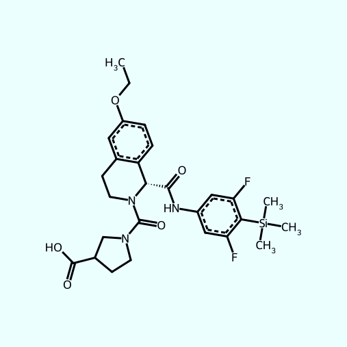 CCOc1ccc2c(c1)CCN(C(=O)N1CCC(C(=O)O)C1)[C@H]2C(=O)Nc1cc(F)c([Si](C)(C)C)c(F)c1